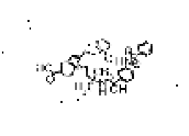 CC(C)(CCn1c(CCN2CCCC2=O)cc2cc(C(=O)O)ccc21)NC[C@H](O)c1cccc(NS(=O)(=O)c2ccccc2)c1